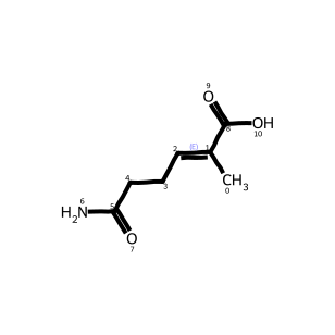 C/C(=C\CCC(N)=O)C(=O)O